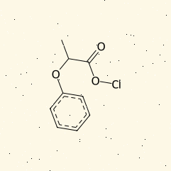 CC(Oc1ccccc1)C(=O)OCl